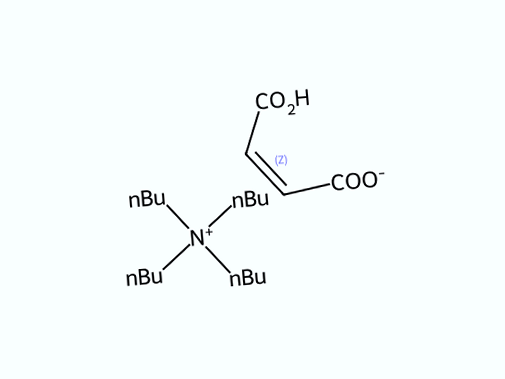 CCCC[N+](CCCC)(CCCC)CCCC.O=C([O-])/C=C\C(=O)O